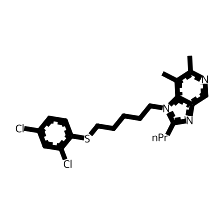 CCCc1nc2cnc(C)c(C)c2n1CCCCCSc1ccc(Cl)cc1Cl